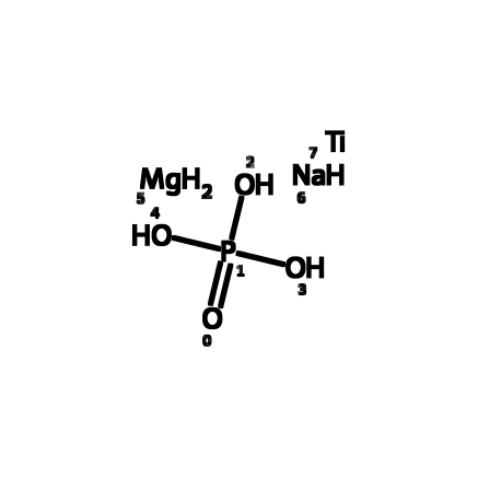 O=P(O)(O)O.[MgH2].[NaH].[Ti]